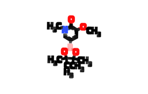 COc1cc(B2OC(C)(C)C(C)(C)O2)cn(C)c1=O